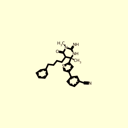 CN1C(=N)N[C@](C)(c2cc(-c3cccc(C#N)c3)cs2)C(CCCCc2ccccc2)C1=O